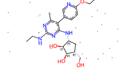 CCNc1nc(C)c(-c2ccc(OCC)nc2)c(N[C@@H]2C[C@H](CO)[C@@H](O)[C@H]2O)n1